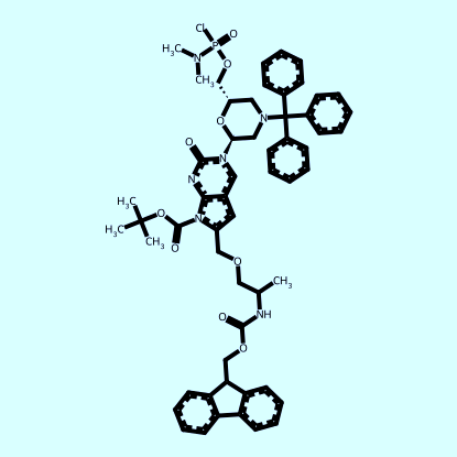 CC(COCc1cc2cn([C@@H]3CN(C(c4ccccc4)(c4ccccc4)c4ccccc4)C[C@@H](COP(=O)(Cl)N(C)C)O3)c(=O)nc2n1C(=O)OC(C)(C)C)NC(=O)OCC1c2ccccc2-c2ccccc21